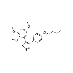 CCCCOc1ccc(-c2cnsc2-c2cc(OC)cc(OC)c2OC)cc1